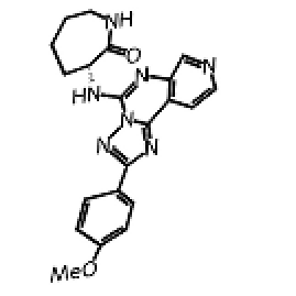 COc1ccc(-c2nc3c4ccncc4nc(N[C@@H]4CCCCNC4=O)n3n2)cc1